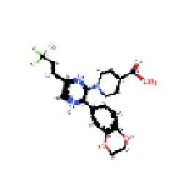 O=C(O)C1CCN(c2nc(CCC(F)(F)F)cnc2-c2ccc3c(c2)OCCO3)CC1